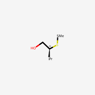 CSS[C@H](CO)C(C)C